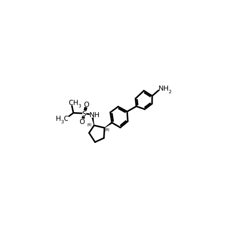 CC(C)S(=O)(=O)N[C@@H]1CCC[C@@H]1c1ccc(-c2ccc(N)cc2)cc1